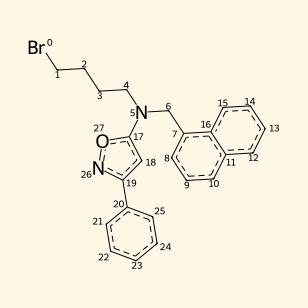 BrCCCCN(Cc1cccc2ccccc12)c1cc(-c2ccccc2)no1